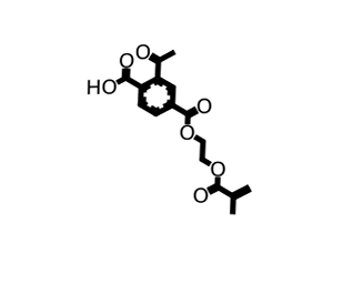 C=C(C)C(=O)OCCOC(=O)c1ccc(C(=O)O)c(C(C)=O)c1